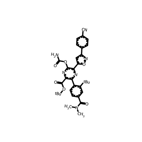 CN(C)C(=O)c1ccc(-c2nc(-c3cc(-c4ccc(C#N)cc4)no3)c(OC(N)=O)nc2C(=O)OC(C)(C)C)c(C(C)(C)C)c1